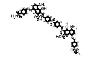 Nc1ccc(N=Nc2ccc(S(N)(=O)=O)cc2)c2cc(S(=O)(=O)O)c(N=Nc3ccc(S(=O)(=O)c4ccc(N=Nc5c(S(=O)(=O)O)cc6c(N=Nc7ccc(S(N)(=O)=O)cc7)ccc(N)c6c5O)cc4)cc3)c(O)c12